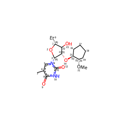 CC[C@H]1O[C@@H](n2cc(C)c(=O)[nH]c2=O)[C@@H](O[C@H]2CCCC[C@@H]2OC)C1O